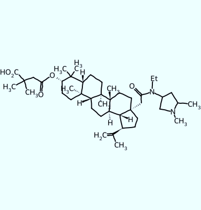 C=C(C)[C@@H]1CC[C@]2(CC(=O)N(CC)C3CC(C)N(C)C3)CC[C@]3(C)[C@H](CC[C@@H]4[C@@]5(C)CC[C@H](OC(=O)CC(C)(C)C(=O)O)C(C)(C)[C@@H]5CC[C@]43C)[C@@H]12